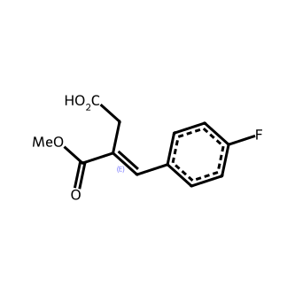 COC(=O)/C(=C/c1ccc(F)cc1)CC(=O)O